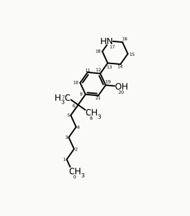 CCCCCCC(C)(C)c1ccc(C2CCCNC2)c(O)c1